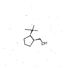 CC(C)(C)[C@@H]1CCC[C@@H]1CO